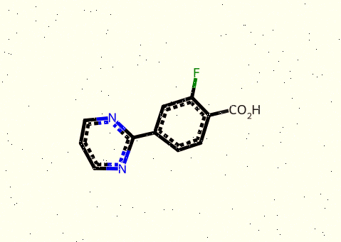 O=C(O)c1ccc(-c2ncccn2)cc1F